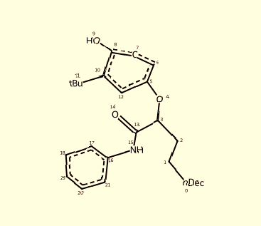 CCCCCCCCCCCCC(Oc1ccc(O)c(C(C)(C)C)c1)C(=O)Nc1ccccc1